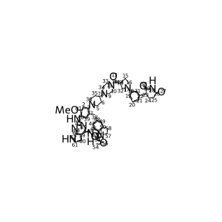 COc1cc(N2CCC(N3CCN(C(=O)[C@H]4CCN(c5cccc(C6CCC(=O)NC6=O)c5)C4)CC3)CC2)c(C)cc1Nc1nc(Nc2cccc3c2N(S(C)(=O)=O)CC3)c2cc[nH]c2n1